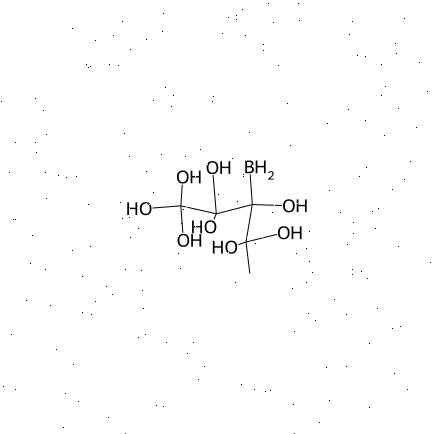 BC(O)(C(C)(O)O)C(O)(O)C(O)(O)O